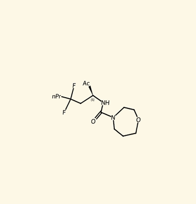 CCCC(F)(F)C[C@H](NC(=O)N1CCCOCC1)C(C)=O